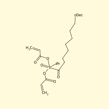 C=CC(=O)[O][Ti](=[O])([O]C(=O)C=C)([C](=O)CCCCCCCCCCCCCCCCC)[CH](C)C